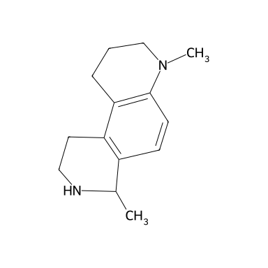 CC1NCCc2c1ccc1c2CCCN1C